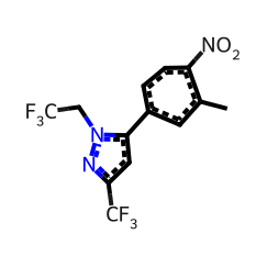 Cc1cc(-c2cc(C(F)(F)F)nn2CC(F)(F)F)ccc1[N+](=O)[O-]